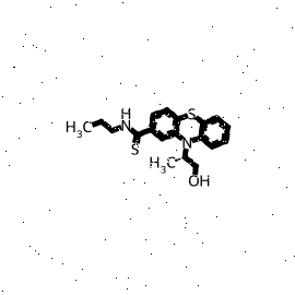 CCCNC(=S)c1ccc2c(c1)N([C@@H](C)CO)c1ccccc1S2